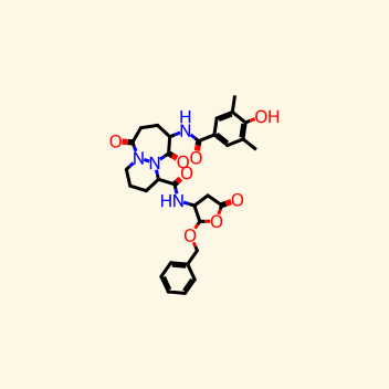 Cc1cc(C(=O)NC2CCC(=O)N3CCCC(C(=O)NC4CC(=O)OC4OCc4ccccc4)N3C2=O)cc(C)c1O